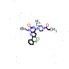 C=CC(=O)N1CCN(c2nc(=O)n(CC(C)(C)C)c3nc(-c4ccccc4F)c(Cl)cc23)C(C)C1